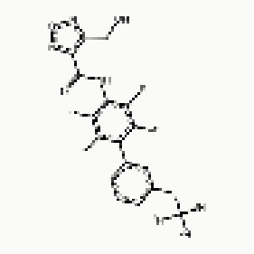 [2H]C([2H])([2H])Oc1cccc(-c2c(F)c(F)c(NC(=O)c3nonc3CO)c(F)c2F)c1